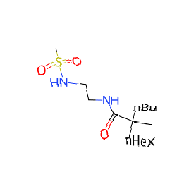 CCCCCCC(C)(CCCC)C(=O)NCCNS(C)(=O)=O